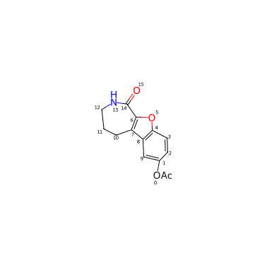 CC(=O)Oc1ccc2oc3c(c2c1)CCCNC3=O